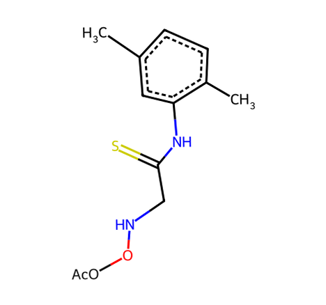 CC(=O)OONCC(=S)Nc1cc(C)ccc1C